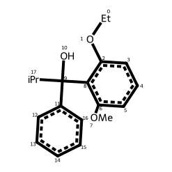 CCOc1cccc(OC)c1C(O)(c1ccccc1)C(C)C